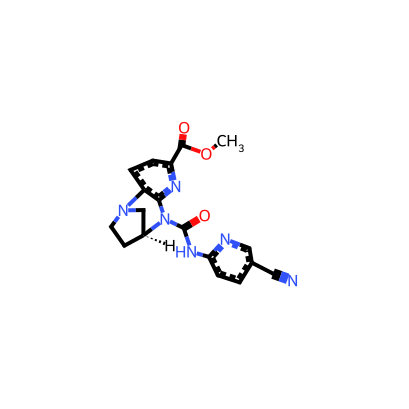 COC(=O)c1ccc2c(n1)N(C(=O)Nc1ccc(C#N)cn1)[C@H]1CCN2C1